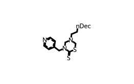 CCCCCCCCCCCCN1CSC(=S)N(Cc2ccncc2)C1